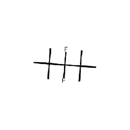 CC(C)(C)C(F)(F)C(C)(C)C